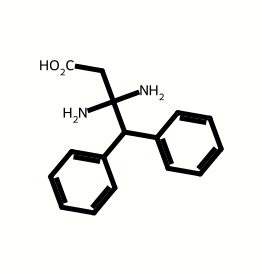 NC(N)(CC(=O)O)C(c1ccccc1)c1ccccc1